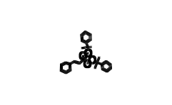 CC(C)(OOC(C=Cc1ccccc1)OOC(C)(C)c1ccccc1)c1ccccc1